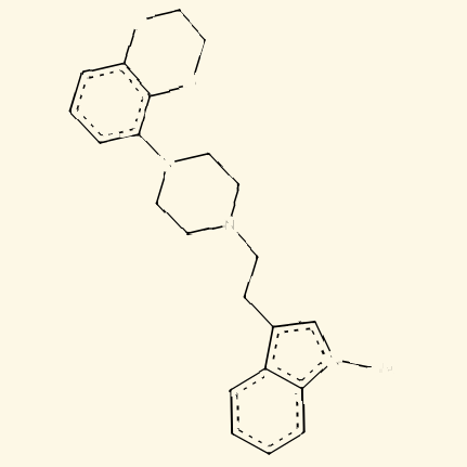 CCCCn1cc(CCN2CCN(c3cccc4c3OCCO4)CC2)c2ccccc21